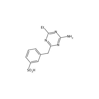 CCc1nc(N)nc(Cc2cccc(S(=O)(=O)O)c2)n1